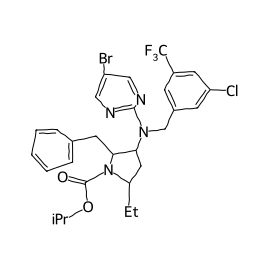 CCC1CC(N(Cc2cc(Cl)cc(C(F)(F)F)c2)c2ncc(Br)cn2)C(Cc2ccccc2)N1C(=O)OC(C)C